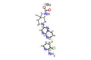 CC1(CNC(=O)OC(C)(C)C)CCN(c2cnc3nc(Sc4ccnc(N)c4Cl)ccc3n2)CC1